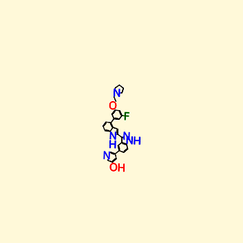 Oc1cncc(-c2ccc3[nH]nc(-c4cc5c(-c6cc(F)cc(OCCN7CCCC7)c6)cccc5[nH]4)c3c2)c1